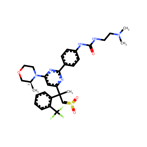 C[C@H]1COCCN1c1cc(C(C)(C=S(=O)=O)c2ccccc2C(F)(F)F)nc(-c2ccc(NC(=O)NCCN(C)C)cc2)n1